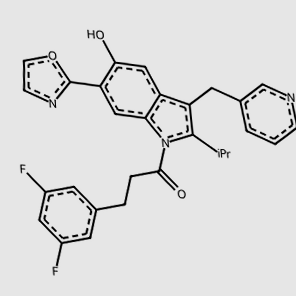 CC(C)c1c(Cc2cccnc2)c2cc(O)c(-c3ncco3)cc2n1C(=O)CCc1cc(F)cc(F)c1